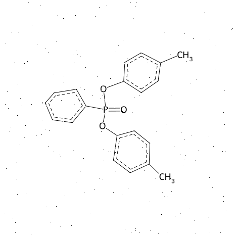 Cc1ccc(OP(=O)(Oc2ccc(C)cc2)c2cc[c]cc2)cc1